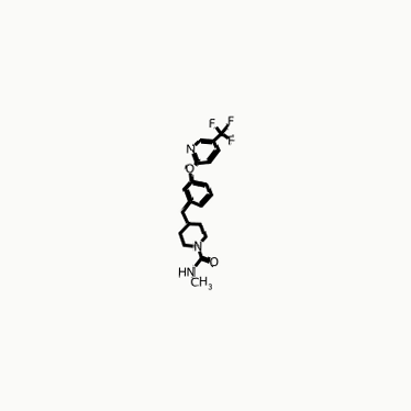 CNC(=O)N1CCC(Cc2cccc(Oc3ccc(C(F)(F)F)cn3)c2)CC1